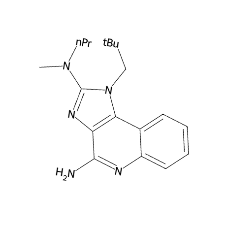 CCCN(C)c1nc2c(N)nc3ccccc3c2n1CC(C)(C)C